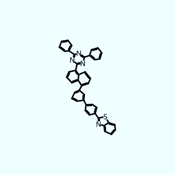 c1ccc(-c2nc(-c3ccccc3)nc(-c3cccc4c(-c5cccc(-c6ccc(-c7nc8ccccc8s7)cc6)c5)cccc34)n2)cc1